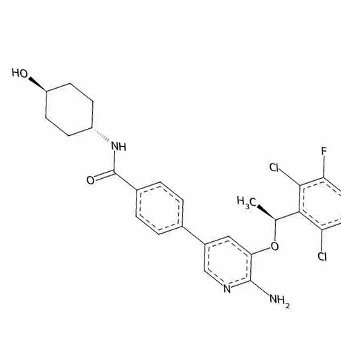 C[C@H](Oc1cc(-c2ccc(C(=O)N[C@H]3CC[C@H](O)CC3)cc2)cnc1N)c1c(Cl)ccc(F)c1Cl